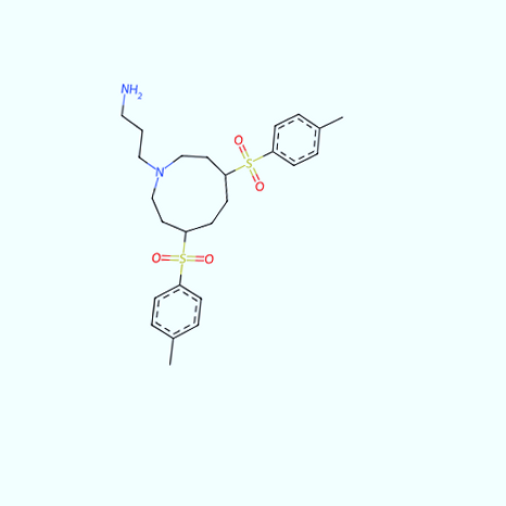 Cc1ccc(S(=O)(=O)C2CCC(S(=O)(=O)c3ccc(C)cc3)CCN(CCCN)CC2)cc1